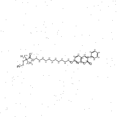 CC(C)CCC(C)(C)C(=O)OCCCCCCCCCCCOc1ccc2cc(-c3ccccc3)c(=O)oc2n1